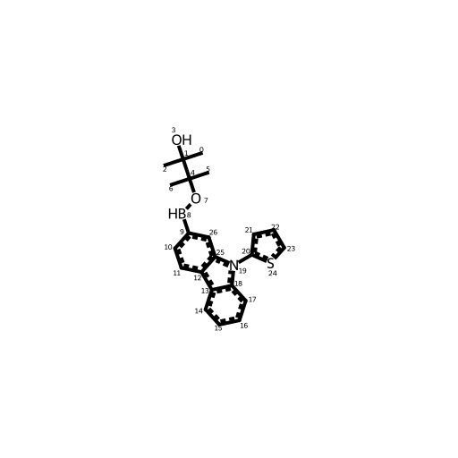 CC(C)(O)C(C)(C)OBc1ccc2c3ccccc3n(-c3cccs3)c2c1